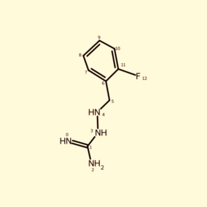 N=C(N)NNCc1ccccc1F